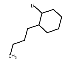 [Li][CH]1CCCCC1CCCC